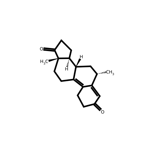 C[C@H]1C[C@@H]2C(=C3CCC(=O)C=C31)CC[C@]1(C)C(=O)CC[C@@H]21